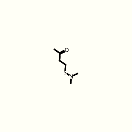 CC(=O)CCSN(C)C